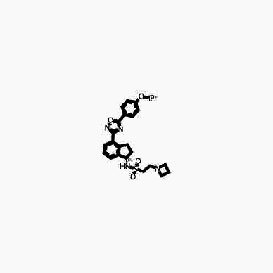 CC(C)Oc1ccc(-c2nc(-c3cccc4c3CC[C@@H]4NS(=O)(=O)CCN3CCC3)no2)cc1